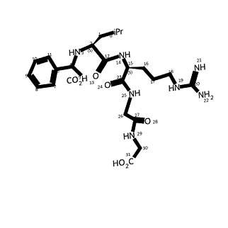 CC(C)C[C@H](NC(C(=O)O)c1ccccc1)C(=O)N[C@@H](CCCNC(=N)N)C(=O)NCC(=O)NCC(=O)O